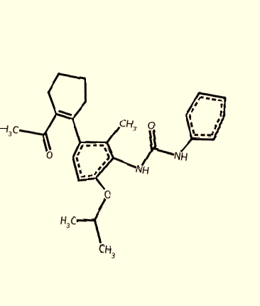 CC(=O)C1=C(c2ccc(OC(C)C)c(NC(=O)Nc3ccccc3)c2C)CCCC1